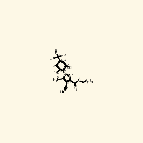 C#Cc1c(C(=O)OCC)nn(-c2c(Cl)cc(C(F)(F)F)cc2Cl)c1N